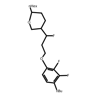 CCCCCCC1CCC(C(F)CCOc2ccc(CCCC)c(F)c2F)CO1